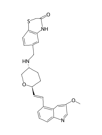 COc1cnc2cccc(C=C[C@@H]3CC[C@@H](NCc4ccc5c(c4)NC(=O)CS5)CO3)c2c1